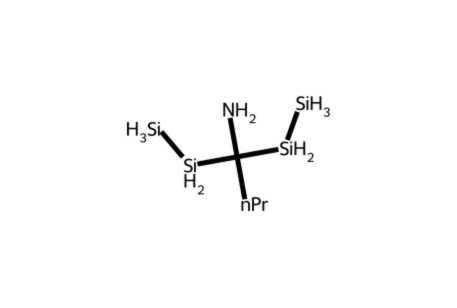 CCCC(N)([SiH2][SiH3])[SiH2][SiH3]